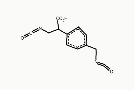 O=C=NCc1ccc(C(CN=C=O)C(=O)O)cc1